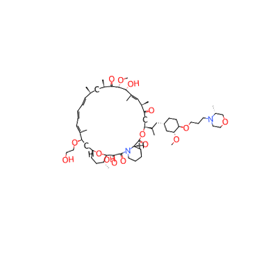 CO[C@@H]1C[C@H](CC(C)[C@@H]2CC(=O)[C@H](C)/C=C(\C)[C@@H](O)[C@@H](OC)C(=O)[C@H](C)C[C@H](C)/C=C/C=C/C=C(\C)[C@H](OCCO)C[C@@H]3CC[C@@H](C)[C@@](O)(O3)C(=O)C(=O)N3CCCC[C@H]3C(=O)O2)CC[C@H]1OCCCN1CCOC[C@H]1C